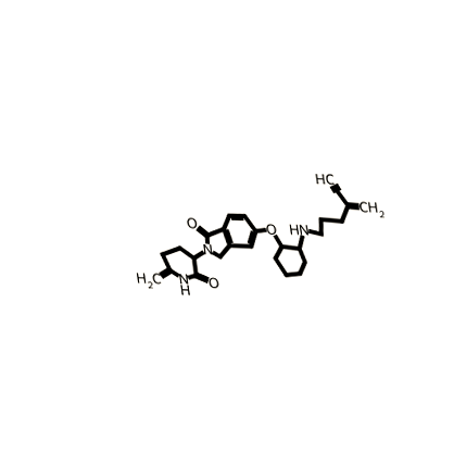 C#CC(=C)CCCNC1CCCCC1Oc1ccc2c(c1)CN(C1CCC(=C)NC1=O)C2=O